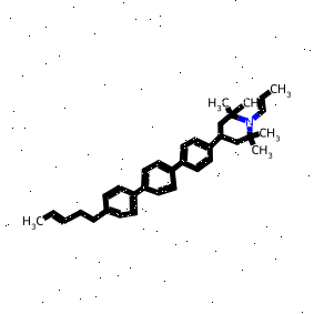 C/C=C/CCc1ccc(-c2ccc(-c3ccc(C4CC(C)(C)N(/C=C/C)C(C)(C)C4)cc3)cc2)cc1